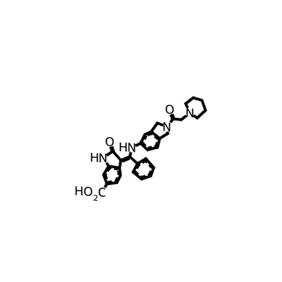 O=C1Nc2cc(C(=O)O)ccc2/C1=C(/Nc1ccc2c(c1)CN(C(=O)CN1CCCCC1)C2)c1ccccc1